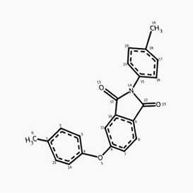 Cc1ccc(Oc2ccc3c(c2)C(=O)N(c2ccc(C)cc2)C3=O)cc1